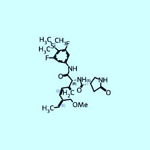 C=C(/C=C\C(=C/C)COC)[C@@H](NC(=O)[C@@H]1CNC(=O)C1)C(=O)Nc1cc(F)c([Si](C)(C)C)c(F)c1